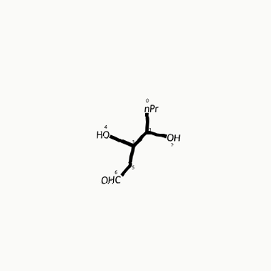 CCCC(O)C(O)CC=O